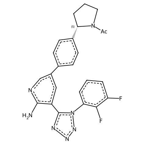 CC(=O)N1CCC[C@H]1c1ccc(-c2cnc(N)c(-c3nnnn3-c3cccc(F)c3F)c2)cc1